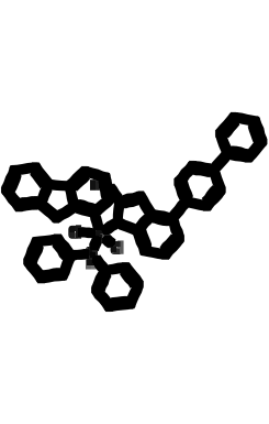 CCCC1=Cc2c(-c3ccc(-c4ccccc4)cc3)cccc2[CH]1[Zr]([Cl])([Cl])([c]1cccc2c1Cc1ccccc1-2)[SiH](c1ccccc1)c1ccccc1